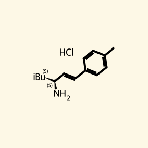 CC[C@H](C)[C@H](N)C=Cc1ccc(C)cc1.Cl